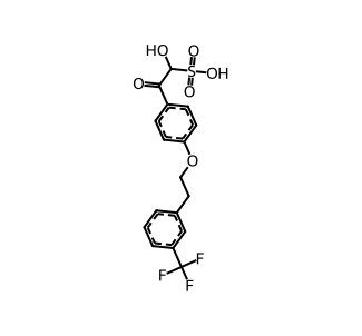 O=C(c1ccc(OCCc2cccc(C(F)(F)F)c2)cc1)C(O)S(=O)(=O)O